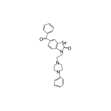 O=C(c1ccccc1)c1ccc2c(c1)[se]c(=O)n2CCN1CCN(c2ccccc2)CC1